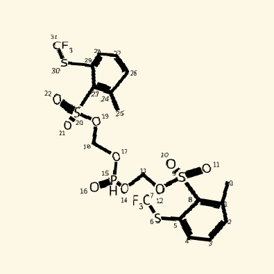 Cc1cccc(SC(F)(F)F)c1S(=O)(=O)OCO[PH](=O)OCOS(=O)(=O)c1c(C)cccc1SC(F)(F)F